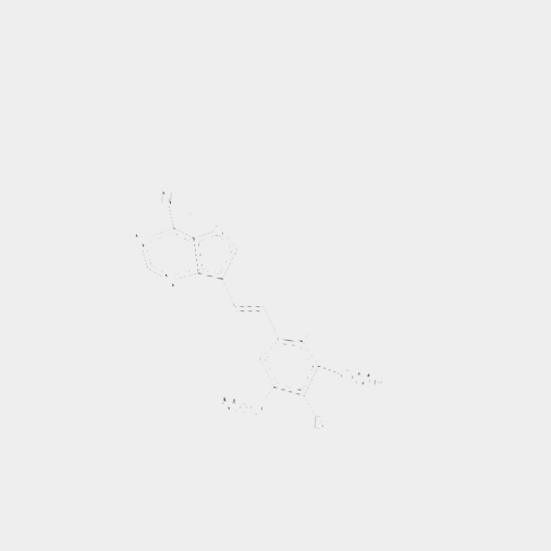 COc1cc(C=Cc2csc3c(N)ncnc23)cc(OC)c1Br